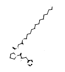 CCCCCCCCCCCCCCOC(=O)CNC(=O)[C@@H]1CCCN1C(=O)[C@@H](N)Cc1cscn1.Cl